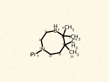 CC(C)N1CCBC(C)(C)C(C)(C)CC1